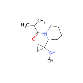 CNC1(C2CCCCN2C(=O)C(C)C)CC1